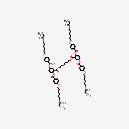 C=CC(=O)OCCCCCCOc1ccc(C(=O)Oc2ccc(OC(=O)c3ccc(OCCCCCCOC(=O)C=C)cc3)c(C(=O)OCCCCCCOC(=O)c3cc(OC(O)c4ccc(OCCCCCCOC(=O)C=C)cc4)ccc3OC(=O)c3ccc(OCCCCCCOC(O)C=C)cc3)c2)cc1